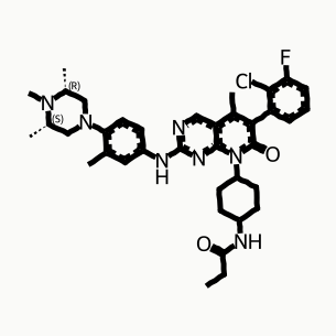 CCC(=O)NC1CCC(n2c(=O)c(-c3cccc(F)c3Cl)c(C)c3cnc(Nc4ccc(N5C[C@@H](C)N(C)[C@@H](C)C5)c(C)c4)nc32)CC1